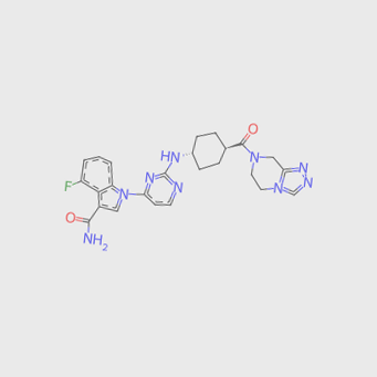 NC(=O)c1cn(-c2ccnc(N[C@H]3CC[C@H](C(=O)N4CCn5cnnc5C4)CC3)n2)c2cccc(F)c12